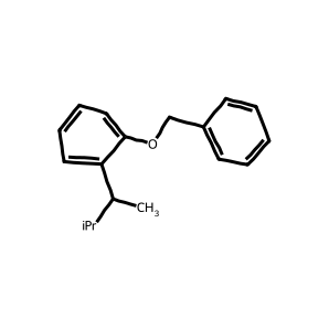 CC(C)C(C)c1ccccc1OCc1ccccc1